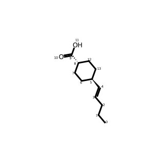 CCC/C=C/[C@H]1CC[C@H](C(=O)O)CC1